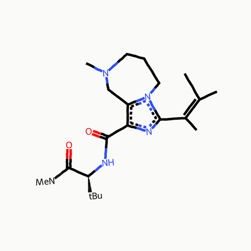 CNC(=O)[C@@H](NC(=O)c1nc(C(C)=C(C)C)n2c1CN(C)CCC2)C(C)(C)C